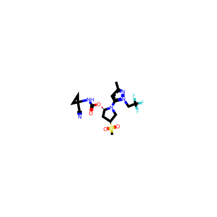 Cc1cc(N2C[C@H](S(C)(=O)=O)C[C@@H]2OC(=O)NC2(C#N)CC2)n(CC(F)(F)F)n1